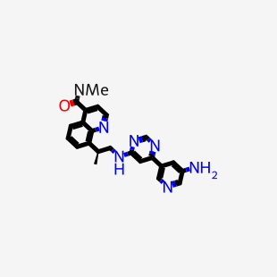 CNC(=O)c1ccnc2c([C@H](C)CNc3cc(-c4cncc(N)c4)ncn3)cccc12